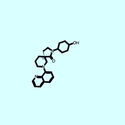 O=C1N(C2CCC(O)CC2)CC[C@]12CCCN(c1cccc3cccnc13)C2